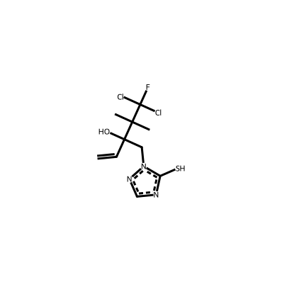 C=CC(O)(Cn1ncnc1S)C(C)(C)C(F)(Cl)Cl